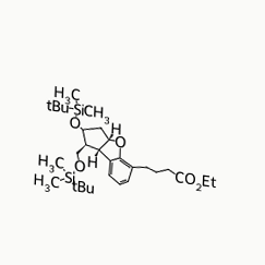 CCOC(=O)CCCc1cccc2c1O[C@H]1CC(O[Si](C)(C)C(C)(C)C)[C@H](CO[Si](C)(C)C(C)(C)C)[C@@H]21